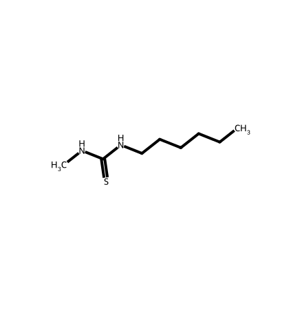 CCCCCCNC(=S)NC